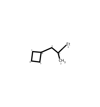 CCC(C)C[C]1CCC1